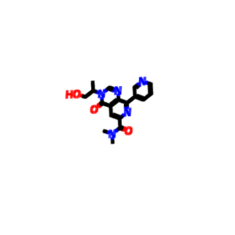 CC(CO)n1cnc2c(-c3cccnc3)nc(C(=O)N(C)C)cc2c1=O